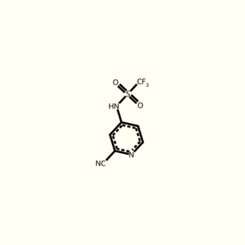 N#Cc1cc(NS(=O)(=O)C(F)(F)F)ccn1